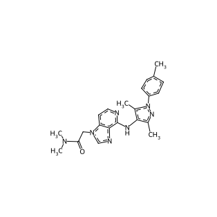 Cc1ccc(-n2nc(C)c(Nc3nccc4c3ncn4CC(=O)N(C)C)c2C)cc1